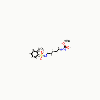 CC(C)(C)OC(=O)NCCCCCNS(=O)(=O)c1ccccc1[N+](=O)[O-]